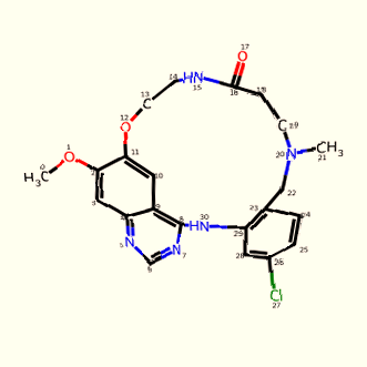 COc1cc2ncnc3c2cc1OCCNC(=O)CCN(C)Cc1ccc(Cl)cc1N3